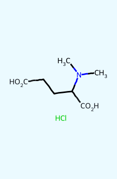 CN(C)C(CCC(=O)O)C(=O)O.Cl